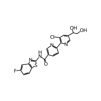 O=C(Nc1nc2cc(F)ccc2s1)c1ccc(-c2ncc(C(O)CO)cc2Cl)nc1